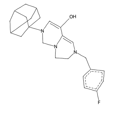 OC1=CN(C23CC4CC(CC(C4)C2)C3)CN2CCN(Cc3ccc(F)cc3)C=C12